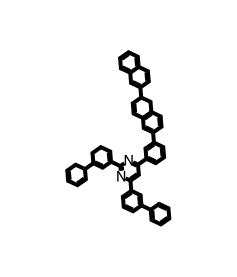 C1=CCC(C2=CC(c3nc(-c4cccc(-c5ccccc5)c4)cc(-c4cccc(-c5ccc6c(c5)C=CC(c5ccc7ccccc7c5)C6)c4)n3)=CCC2)C=C1